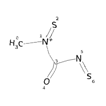 C[N+](=S)C(=O)N=S